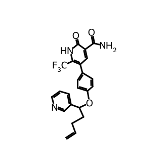 C=CCCC(Oc1ccc(-c2cc(C(N)=O)c(=O)[nH]c2C(F)(F)F)cc1)c1cccnc1